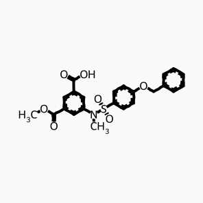 COC(=O)c1cc(C(=O)O)cc(N(C)S(=O)(=O)c2ccc(OCc3ccccc3)cc2)c1